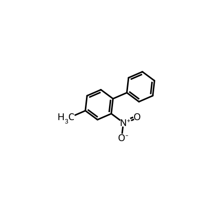 Cc1ccc(-c2ccccc2)c([N+](=O)[O-])c1